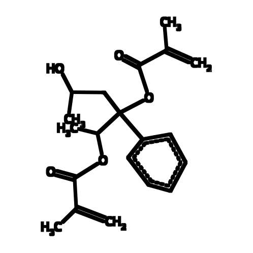 C=C(C)C(=O)OC(C)C(CC(C)O)(OC(=O)C(=C)C)c1ccccc1